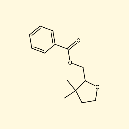 CC1(C)CCOC1COC(=O)c1ccccc1